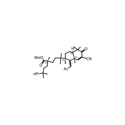 CCCC(C)(C)CC[C@@](C)(CCC(C)(C)[C@]1(C)CC[C@H]2C(C)(C)C(=O)C(C#N)=C[C@]2(C)/C1=C/C(C)=O)C(=O)OC